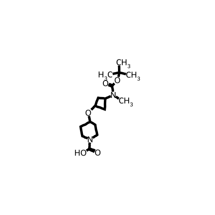 CN(C(=O)OC(C)(C)C)C1CC(OC2CCN(C(=O)O)CC2)C1